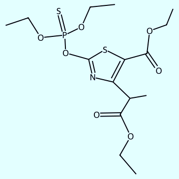 CCOC(=O)c1sc(OP(=S)(OCC)OCC)nc1C(C)C(=O)OCC